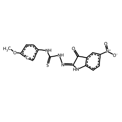 COc1ccc(NC(=S)NN=C2Nc3ccc([N+](=O)[O-])cc3C2=O)cc1